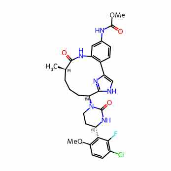 COC(=O)Nc1ccc2c(c1)NC(=O)[C@H](C)CCC[C@H](N1CC[C@@H](c3c(OC)ccc(Cl)c3F)NC1=O)c1nc-2c[nH]1